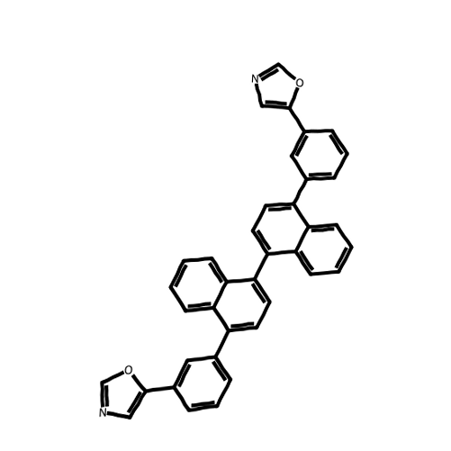 c1cc(-c2cnco2)cc(-c2ccc(-c3ccc(-c4cccc(-c5cnco5)c4)c4ccccc34)c3ccccc23)c1